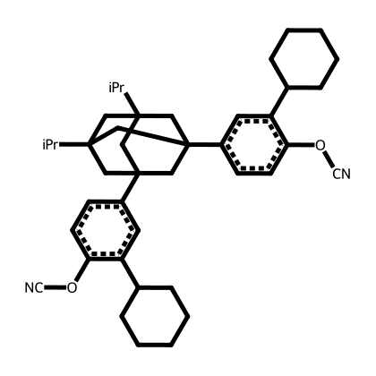 CC(C)C12CC3(c4ccc(OC#N)c(C5CCCCC5)c4)CC(c4ccc(OC#N)c(C5CCCCC5)c4)(C1)CC(C(C)C)(C3)C2